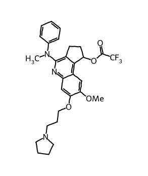 COc1cc2c3c(c(N(C)c4ccccc4)nc2cc1OCCCN1CCCC1)CCC3OC(=O)C(F)(F)F